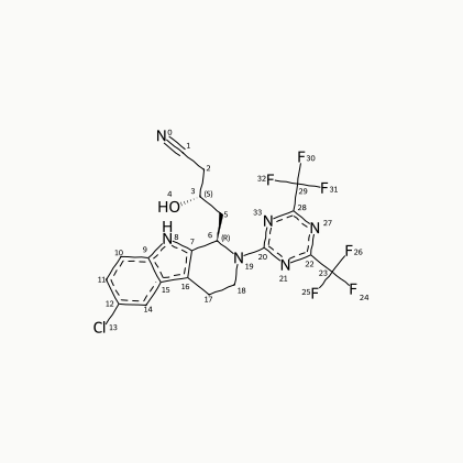 N#CC[C@@H](O)C[C@@H]1c2[nH]c3ccc(Cl)cc3c2CCN1c1nc(C(F)(F)F)nc(C(F)(F)F)n1